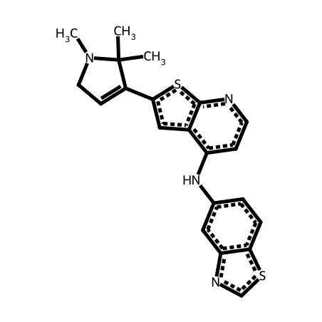 CN1CC=C(c2cc3c(Nc4ccc5scnc5c4)ccnc3s2)C1(C)C